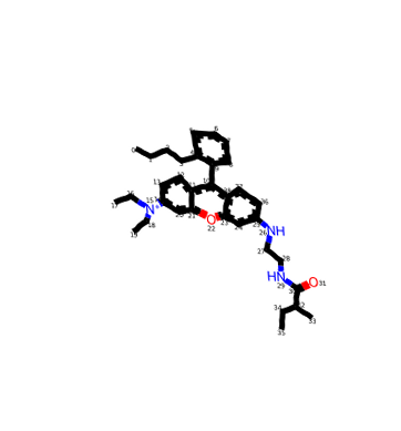 CCCCc1ccccc1-c1c2ccc(=[N+](CC)CC)cc-2oc2cc(NCCNC(=O)C(C)CC)ccc12